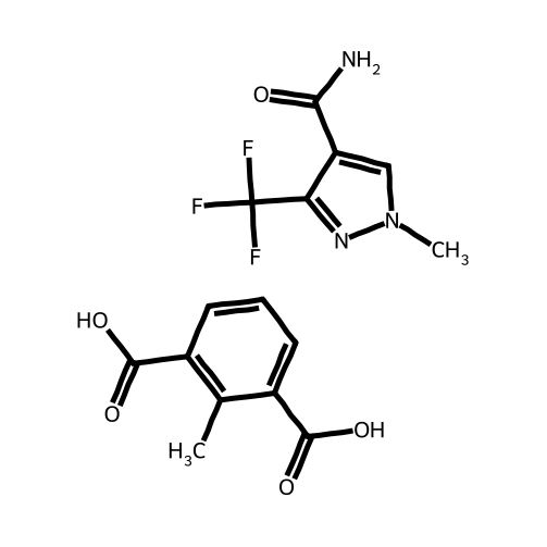 Cc1c(C(=O)O)cccc1C(=O)O.Cn1cc(C(N)=O)c(C(F)(F)F)n1